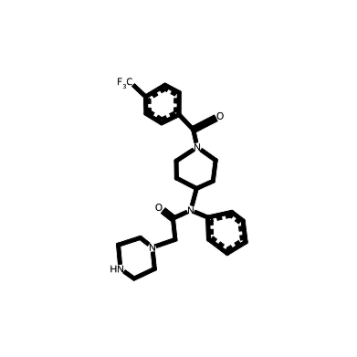 O=C(c1ccc(C(F)(F)F)cc1)N1CCC(N(C(=O)CN2CCNCC2)c2ccccc2)CC1